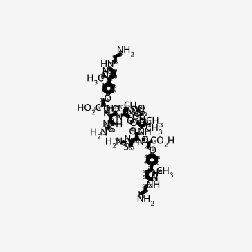 C[n+]1nc(NCCCN)ccc1-c1ccc(OC[C@H](O/N=C(\C(=O)N[C@@H]2C(=O)N(OS(=O)(=O)ON3C(=O)[C@@H](NC(=O)/C(=N\O[C@@H](COc4ccc(-c5ccc(NCCCN)n[n+]5C)cc4)C(=O)O)c4csc(N)n4)C3(C)C)C2(C)C)c2csc(N)n2)C(=O)O)cc1